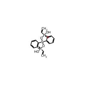 C=CP(=O)(O)O[Si](OP(=O)(O)C=C)(c1ccccc1)c1ccccc1